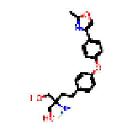 Cc1nc(-c2ccc(Oc3ccc(CCC(CO)(CO)NCl)cc3)cc2)co1